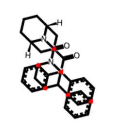 O=C(N1C[C@H]2CCC[C@@H](C1)N2C(=O)N1CCCC(c2ccccc2)C1)N(c1ccccc1)c1ccccc1